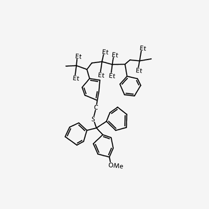 CCC(C)(CC)CC(c1ccccc1)C(CC)(CC)C(CC)(CC)CC(c1ccc(CSC(c2ccccc2)(c2ccccc2)c2ccc(OC)cc2)cc1)C(C)(CC)CC